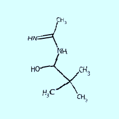 CC(=N)NC(O)C(C)(C)C